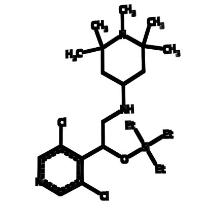 CC[Si](CC)(CC)OC(CNC1CC(C)(C)N(C)C(C)(C)C1)c1c(Cl)cncc1Cl